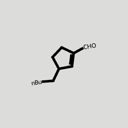 CCCCCC1C=C(C=O)CC1